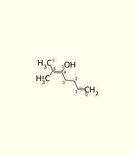 C=CCCC(O)=C(C)C